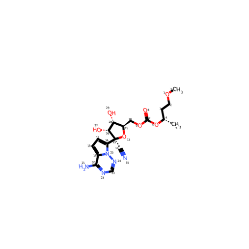 COCC[C@H](C)OC(=O)OC[C@H]1O[C@@](C#N)(c2ccc3c(N)ncnn23)[C@H](O)[C@@H]1O